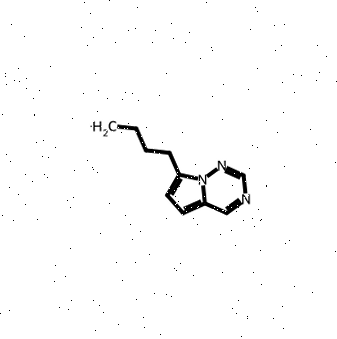 [CH2]CCCc1ccc2cncnn12